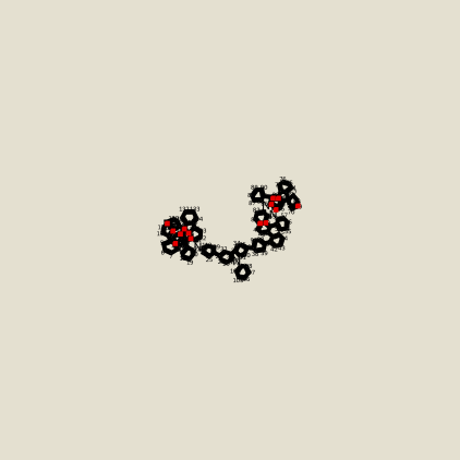 c1ccc(-c2ccccc2-c2ccccc2-c2ccccc2N(c2ccc(-c3ccc4c(c3)c3ccc(-c5ccc(-c6ccccc6-c6ccccc6-c6ccccc6N(c6ccc7c(c6)C6(CC8CCC6C8)c6ccccc6-7)c6ccccc6-n6c7ccccc7c7ccccc76)cc5)cc3n4-c3ccccc3)cc2)c2ccc3c(c2)C(c2ccccc2)(c2ccccc2)c2ccccc2-3)cc1